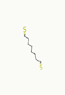 S=CCCCCCCC=S